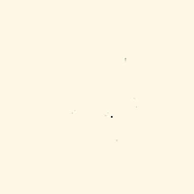 CCOC(=O)CN1C(=S)C(C)Sc2cc(Cl)ccc21